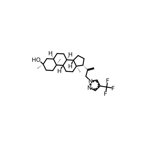 C=C(Cn1cc(C(F)(F)F)cn1)[C@H]1CC[C@H]2[C@@H]3CC[C@@H]4C[C@](C)(O)CC[C@]4(C)[C@H]3CC[C@]12C